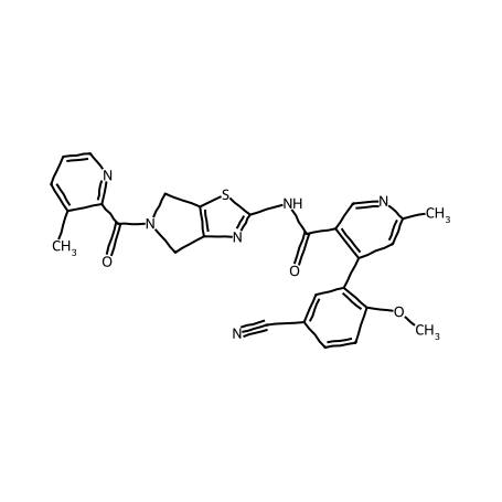 COc1ccc(C#N)cc1-c1cc(C)ncc1C(=O)Nc1nc2c(s1)CN(C(=O)c1ncccc1C)C2